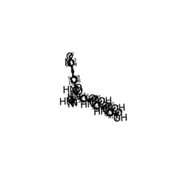 COc1ccc(C#Cc2ccc(C(=O)N[C@@H](Cc3cnn[nH]3)C(=O)Nc3ccc(C(=O)Nc4ccc(C(=O)Nc5ccc(C(=O)O)c(O)c5OC)c(O)c4OC)cc3)cc2)cn1